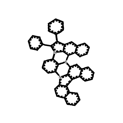 c1ccc(-c2c(-c3ccccc3)n3c4c(c5ccccc5cc24)B2c4c-3cccc4-n3c4ccc5ccccc5c4c4c5ccccc5cc2c43)cc1